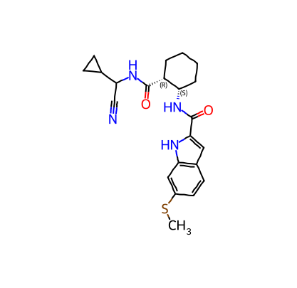 CSc1ccc2cc(C(=O)N[C@H]3CCCC[C@H]3C(=O)NC(C#N)C3CC3)[nH]c2c1